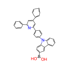 OB(O)c1ccc2c(c1)c1ccccc1n2-c1ccc(-c2cc(-c3ccccc3)cc(-c3ccccc3)n2)cc1